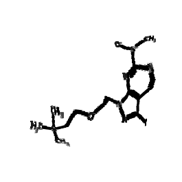 C[S+]([O-])c1ncc2c(I)nn(COCC[Si](C)(C)C)c2n1